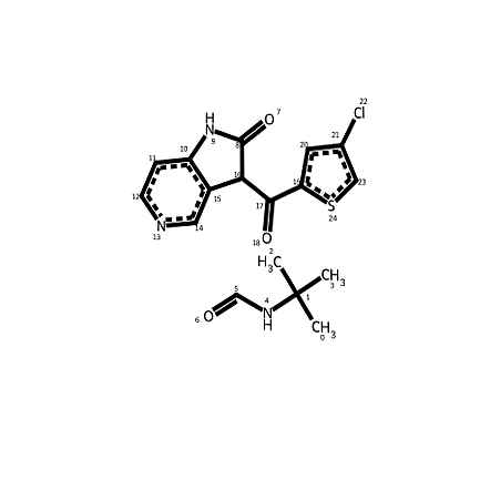 CC(C)(C)NC=O.O=C1Nc2ccncc2C1C(=O)c1cc(Cl)cs1